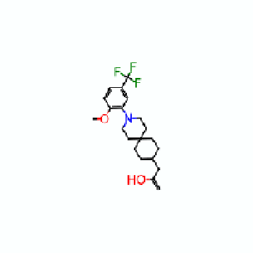 C=C(O)CC1CCC2(CC1)CCN(c1cc(C(F)(F)F)ccc1OC)CC2